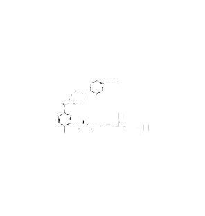 Cc1ccc(C(=O)N2CCC(c3ccc(C#N)cc3)CC2)cc1NC(=O)NCCCCNC(=O)O